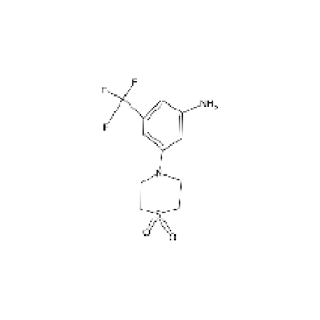 Nc1cc(N2CCS(=O)(=O)CC2)cc(C(F)(F)F)c1